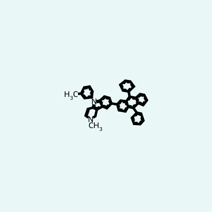 Cc1cccc(-n2c3c(c4cc(-c5ccc6c(-c7ccccc7)c7ccccc7c(-c7ccccc7)c6c5)ccc42)CN(C)C=C3)c1